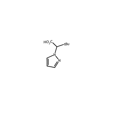 CC(C)(C)C(C(=O)O)n1cccn1